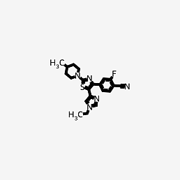 CCn1cnc(-c2sc(N3CCC(C)CC3)nc2-c2ccc(C#N)c(F)c2)c1